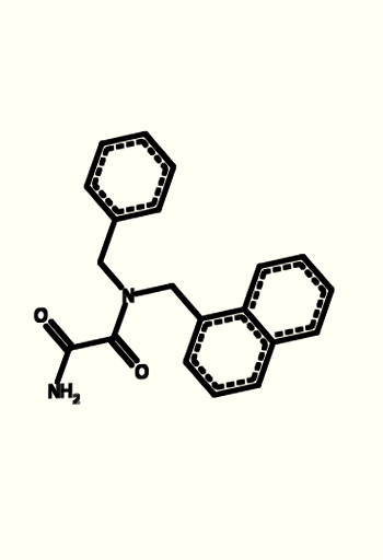 NC(=O)C(=O)N(Cc1ccccc1)Cc1cccc2ccccc12